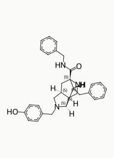 O=C(NCc1ccccc1)[C@@]12C[C@@H]3CN(Cc4ccc(O)cc4)[C@@H]([C@@H]3CN1)[C@H]2Cc1ccccc1